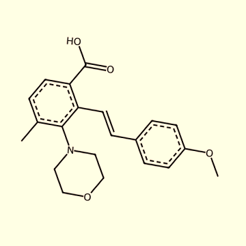 COc1ccc(C=Cc2c(C(=O)O)ccc(C)c2N2CCOCC2)cc1